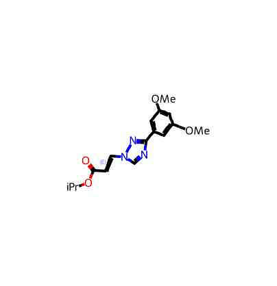 COc1cc(OC)cc(-c2ncn(/C=C/C(=O)OC(C)C)n2)c1